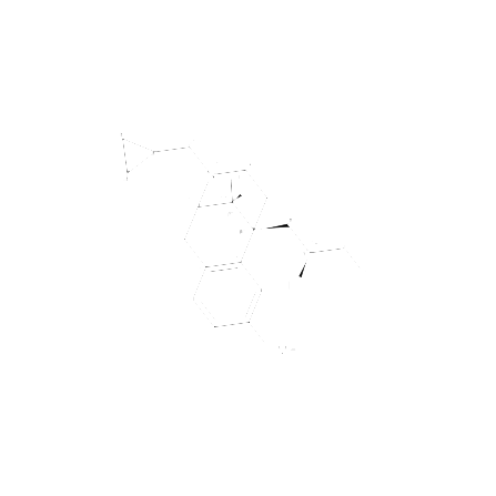 COc1ccc2c(c1)[C@@]1(C[C@H](O)CO)CCN(CC3CC3)C(C2)[C@@H]1C